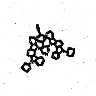 N#Cc1ccc(-c2c(-n3c4ccccc4c4ccc5c(c6ccccc6n5-c5ccccc5)c43)cncc2-n2c3ccccc3c3ccc4c(c5ccccc5n4-c4ccccc4)c32)cc1